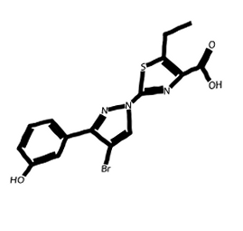 CCc1sc(-n2cc(Br)c(-c3cccc(O)c3)n2)nc1C(=O)O